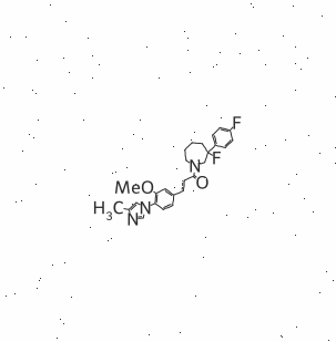 COc1cc(/C=C/C(=O)N2CCCCC(F)(c3ccc(F)cc3)C2)ccc1-n1cnc(C)c1